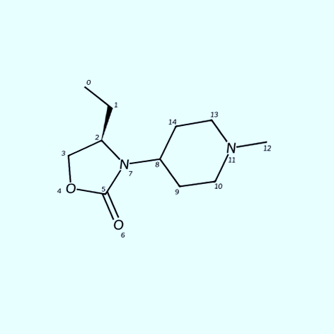 CC[C@@H]1COC(=O)N1C1CCN(C)CC1